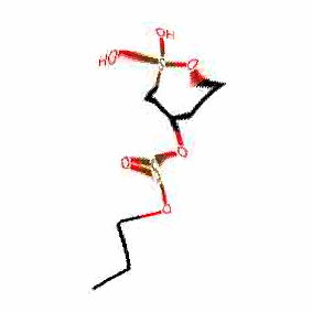 CCCOS(=O)OC1COS(O)(O)C1